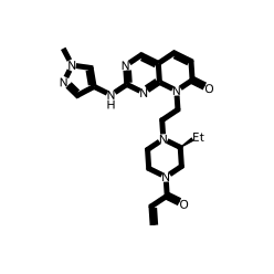 C=CC(=O)N1CCN(CCn2c(=O)ccc3cnc(Nc4cnn(C)c4)nc32)[C@@H](CC)C1